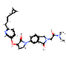 CN(C)C(=O)CN1Cc2ccc(N3CCC(Oc4ccc(CCCC5CC5)nc4)C3=O)cc2C1=O